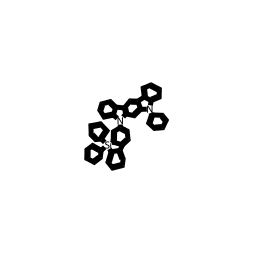 c1ccc(-n2c3ccccc3c3cc4c5ccccc5n(-c5ccc6c(c5)[Si](c5ccccc5)(c5ccccc5)c5ccccc5-6)c4cc32)cc1